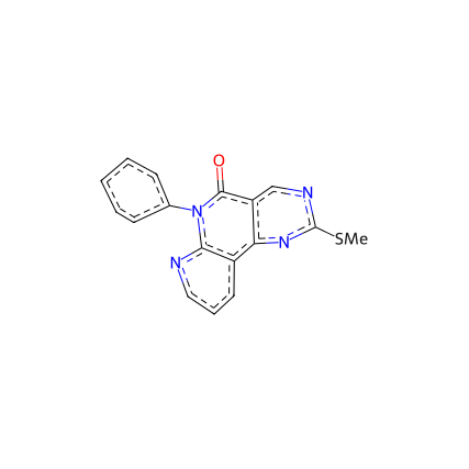 CSc1ncc2c(=O)n(-c3ccccc3)c3ncccc3c2n1